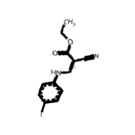 CCOC(=O)/C(C#N)=C\Nc1ccc(I)cc1